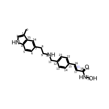 Cc1c[nH]c2ccc(CCNCc3ccc(/C=C/C(=O)NO)cc3)cc12